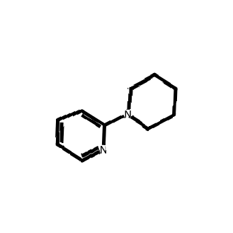 [CH]1CCCCN1c1ccccn1